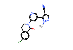 Cn1ncc(C#N)c1-c1cncc(N2CCc3cc(Cl)ccc3C2=O)c1